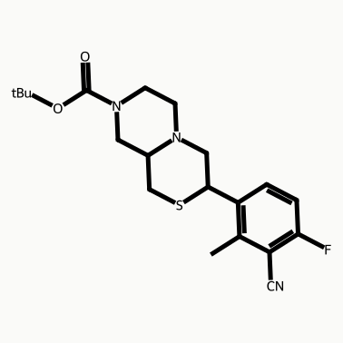 Cc1c(C2CN3CCN(C(=O)OC(C)(C)C)CC3CS2)ccc(F)c1C#N